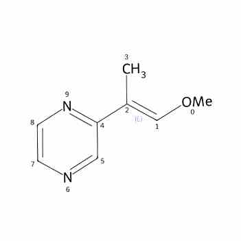 CO/C=C(\C)c1cnccn1